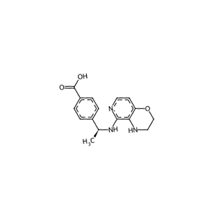 C[C@H](Nc1nccc2c1NCCO2)c1ccc(C(=O)O)cc1